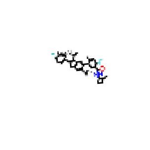 C=C(NC)C1=C(c2ccc(F)cc2)Cc2cc(CCC)c(-c3cc(C(=O)NC4CC=C4C)c(F)cc3C)cc21